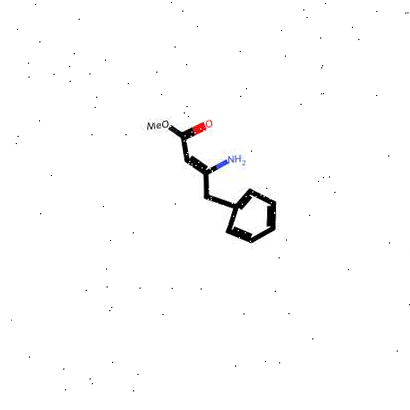 COC(=O)/C=C(\N)Cc1ccccc1